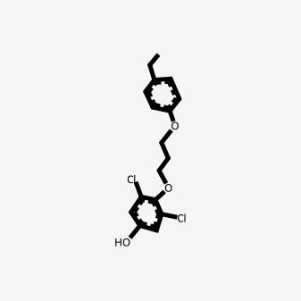 CCc1ccc(OCCCOc2c(Cl)cc(O)cc2Cl)cc1